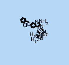 CCOCc1nc2c(N)nc3cc(OCc4ccccc4Cl)ccc3c2n1CC(C)(C)NS(C)(=O)=O